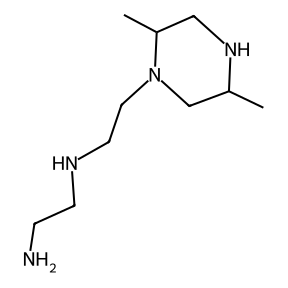 CC1CN(CCNCCN)C(C)CN1